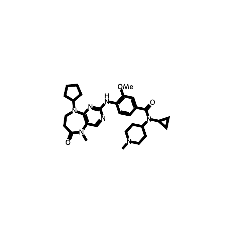 COc1cc(C(=O)N(C2CC2)C2CCN(C)CC2)ccc1Nc1ncc2c(n1)N(C1CCCC1)CCC(=O)N2C